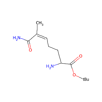 CC(=CCCC(N)C(=O)OC(C)(C)C)C(N)=O